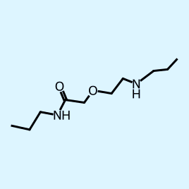 CCCNCCOCC(=O)NCCC